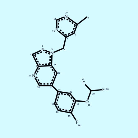 Cc1cc(Cn2ncc3ncc(-c4ccc(F)c(OC(F)F)c4)cc32)ncn1